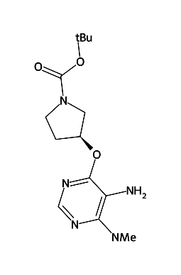 CNc1ncnc(O[C@H]2CCN(C(=O)OC(C)(C)C)C2)c1N